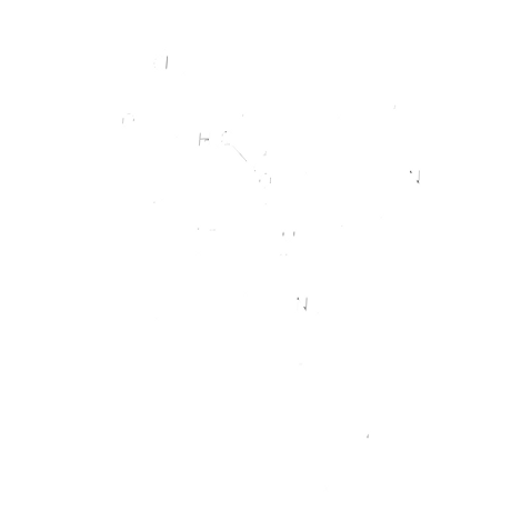 COC1=CC=NCC1(CN(c1ccccc1)c1ccccc1)Oc1ccc(OC)cc1